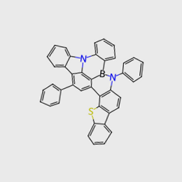 c1ccc(-c2cc3c4c5c2c2ccccc2n5-c2ccccc2B4N(c2ccccc2)c2ccc4c(sc5ccccc54)c2-3)cc1